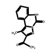 CC(=O)c1nn2c(=O)[nH]c3ccccc3c2c1C